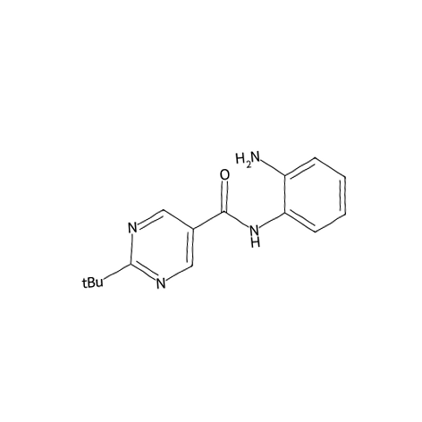 CC(C)(C)c1ncc(C(=O)Nc2ccccc2N)cn1